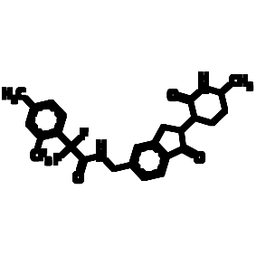 Cc1ccc(C(F)(F)C(=O)NCc2ccc3c(c2)CC(C2CCC(C)NC2=O)C3=O)c(C(F)(F)F)c1